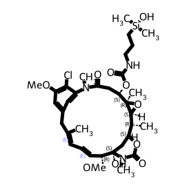 COc1cc2cc(c1Cl)N(C)C(=O)C[C@H](OC(=O)NCCC[Si](C)(C)O)[C@@]1(C)O[C@H]1[C@H](C)[C@@H]1C[C@](O)([C@H](OC)/C=C/C=C(\C)C2)N(C)C(=O)O1